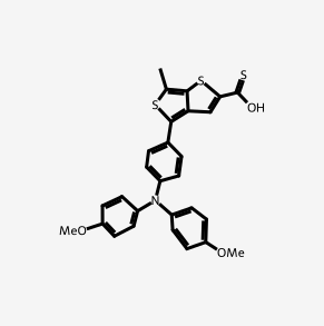 COc1ccc(N(c2ccc(OC)cc2)c2ccc(-c3sc(C)c4sc(C(O)=S)cc34)cc2)cc1